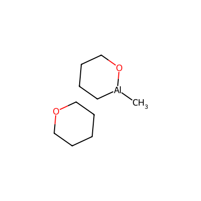 C1CCOCC1.[CH3][Al]1[CH2]CCC[O]1